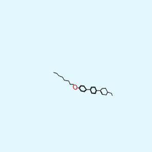 CCCCCCCCOc1ccc(-c2ccc(C3=CCC(CC)CC3)cc2)cc1